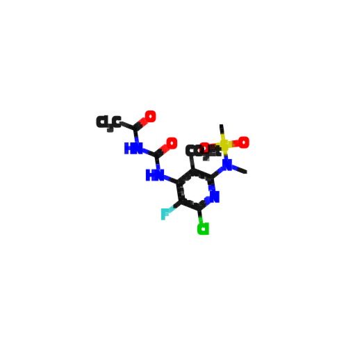 CCOC(=O)c1c(N(C)S(C)(=O)=O)nc(Cl)c(F)c1NC(=O)NC(=O)C(Cl)(Cl)Cl